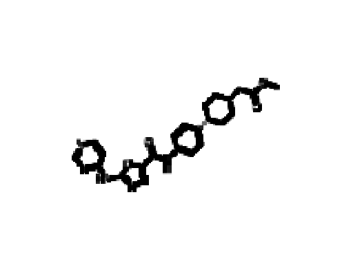 COC(=O)C[C@H]1CC[C@H](c2ccc(NC(=O)c3nnc(Nc4ccncn4)o3)cc2)CC1